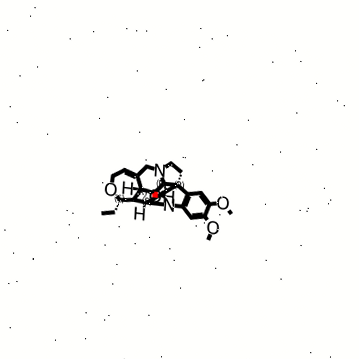 CC[C@@H]1OCC=C2CN3CC[C@]45c6cc(OC)c(OC)cc6N(C=O)[C@H]4C1[C@H]2C[C@@H]35